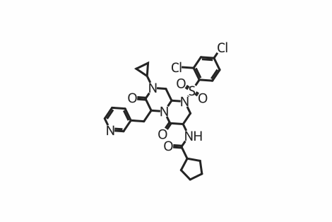 O=C(NC1CN(S(=O)(=O)c2ccc(Cl)cc2Cl)C2CN(C3CC3)C(=O)C(Cc3cccnc3)N2C1=O)C1CCCC1